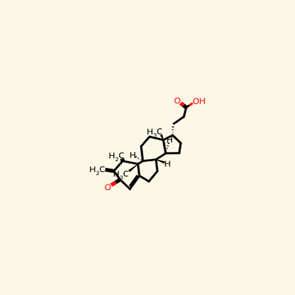 C=C1C(=C)[C@@]2(C)C(=CC1=O)CC[C@@H]1[C@@H]2CC[C@]2(C)[C@H](CCC(=O)O)CC[C@@H]12